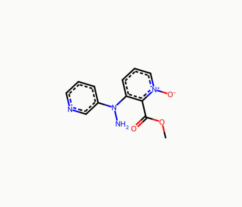 COC(=O)c1c(N(N)c2cccnc2)ccc[n+]1[O-]